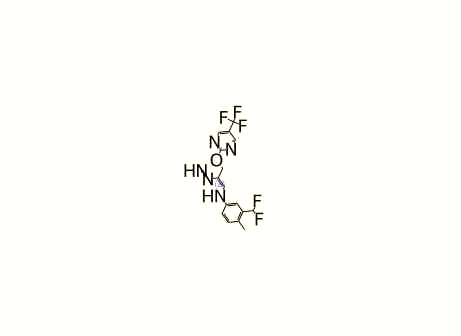 Cc1ccc(N/C=C(/COc2ncc(C(F)(F)F)cn2)N=N)cc1C(F)F